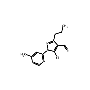 CCCc1nn(-c2cc(C)ncn2)c(Cl)c1C=O